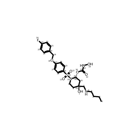 CCCCNC[C@]1(O)CCN(S(=O)(=O)c2ccc(OCc3ccc(F)cc3)cc2)[C@H](OC(=O)NO)C1